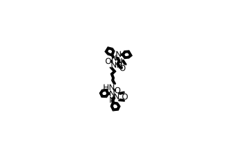 O=C(NCCCCCCNC(=O)N(/C(=N/C1CCCCC1)N1CCOCC1)C1CCCCC1)N(/C(=N/C1CCCCC1)N1CCOCC1)C1CCCCC1